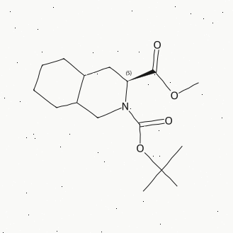 COC(=O)[C@@H]1CC2CCCCC2CN1C(=O)OC(C)(C)C